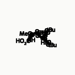 COc1cc(/C=C/C(=O)C(C)C(=O)/C=C/c2ccc(OCCNC(=O)OC(C)(C)C)c(OCCNC(=O)OC(C)(C)C)c2)ccc1OCCNC(=O)O